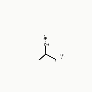 CC(C)O.F.[KH]